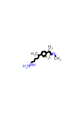 C/C=N\C(C)=C(/C)c1ccc(C(C)CCCCNN)cc1